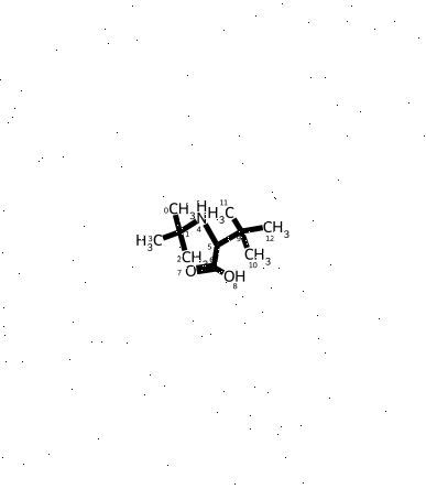 CC(C)(C)NC(C(=O)O)C(C)(C)C